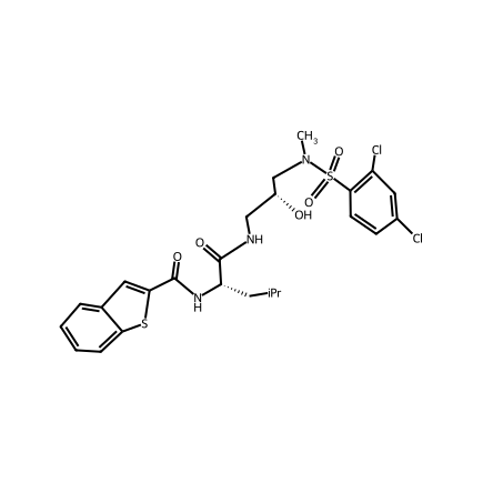 CC(C)C[C@H](NC(=O)c1cc2ccccc2s1)C(=O)NC[C@@H](O)CN(C)S(=O)(=O)c1ccc(Cl)cc1Cl